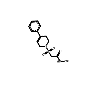 O=C(CS(=O)(=O)N1CC=C(c2ccccc2)CC1)NO